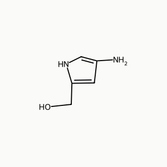 Nc1c[nH]c(CO)c1